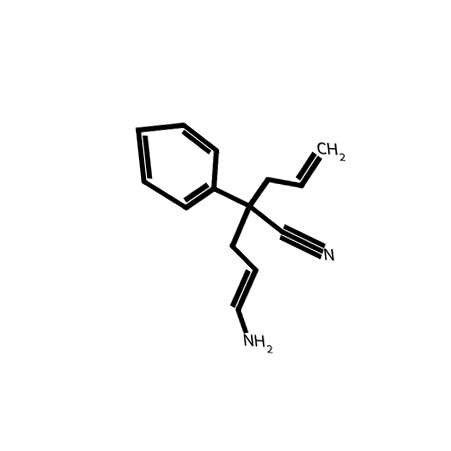 C=CCC(C#N)(CC=CN)c1ccccc1